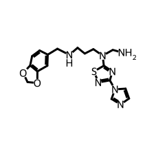 NCN(CCCNCc1ccc2c(c1)OCO2)c1nc(-n2ccnc2)ns1